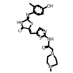 Cc1cc(O)ccc1/N=C1/NC(=O)/C(=C/c2cnc(NC(=O)CN3CCN(C)CC3)s2)S1